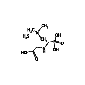 CN(C)C.O=C(O)CNCP(=O)(O)O.S